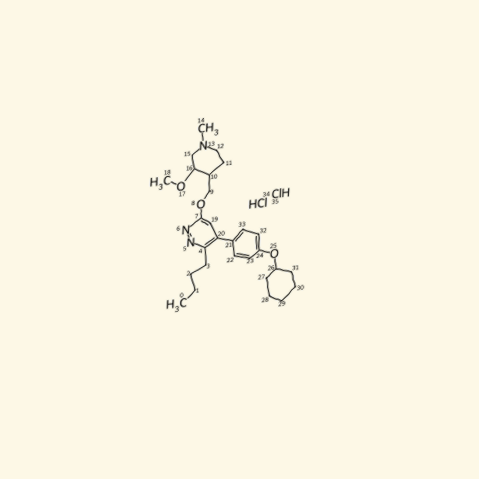 CCCCc1nnc(OCC2CCN(C)CC2OC)cc1-c1ccc(OC2CCCCC2)cc1.Cl.Cl